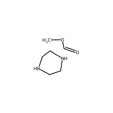 C1CNCCN1.COC=O